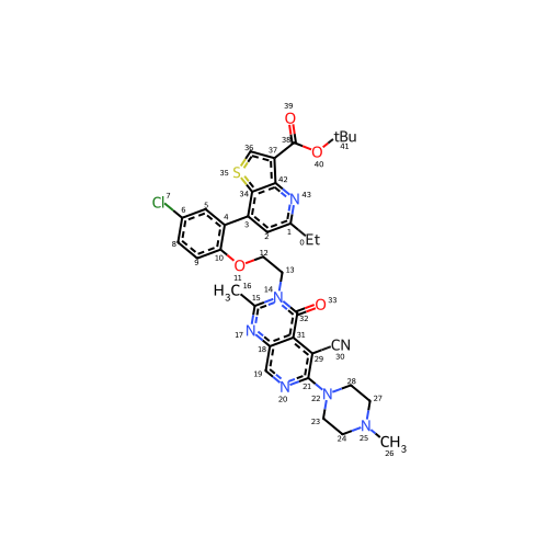 CCc1cc(-c2cc(Cl)ccc2OCCn2c(C)nc3cnc(N4CCN(C)CC4)c(C#N)c3c2=O)c2scc(C(=O)OC(C)(C)C)c2n1